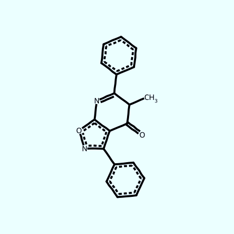 CC1C(=O)c2c(-c3ccccc3)noc2N=C1c1ccccc1